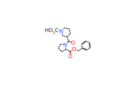 O=C(OCc1ccccc1)C1CCCN1C(=O)C1CCCN(C(=O)O)C1